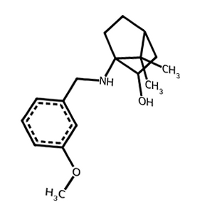 COc1cccc(CNC23CCC(CC2O)C3(C)C)c1